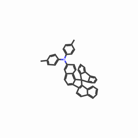 Cc1ccc(N(c2ccc(C)cc2)c2ccc3c4c(ccc3c2)-c2ccc3ccccc3c2C42c3ccccc3-c3ccccc32)cc1